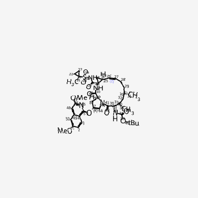 COc1ccc2c(O[C@@H]3C[C@H]4C(=O)N[C@]5(C(=O)NS(=O)(=O)C6(C)CC6)C[C@H]5/C=C\CC[C@H](C)C[C@@H](C)[C@H](NC(=O)OC(C)(C)C)C(=O)N4C3)nc(OC)cc2c1